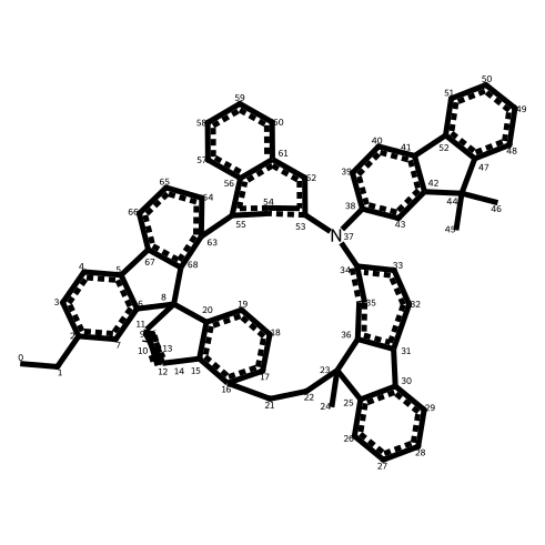 CCc1ccc2c(c1)C13c4ccccc4-c4c(cccc41)CCC1(C)c4ccccc4-c4ccc(cc41)N(c1ccc4c(c1)C(C)(C)c1ccccc1-4)c1cc(c4ccccc4c1)-c1cccc-2c13